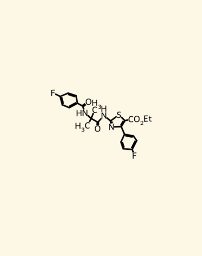 CCOC(=O)c1sc(NC(=O)C(C)(C)NC(=O)c2ccc(F)cc2)nc1-c1ccc(F)cc1